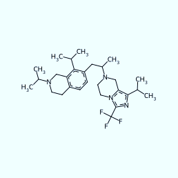 CC(C)c1nc(C(F)(F)F)n2c1CN(C(C)Cc1ccc3c(c1C(C)C)CN(C(C)C)CC3)CC2